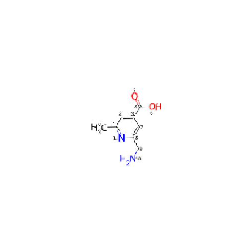 Cc1cc(C(=O)O)cc(CN)n1